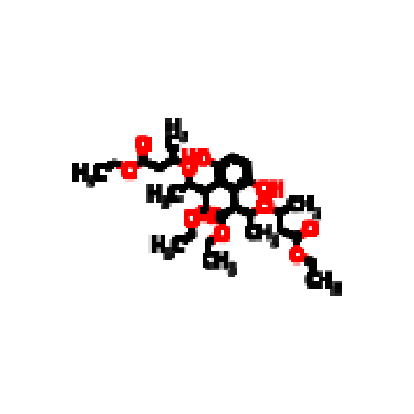 CCOC(=O)CC(C)OC(C)C(C(=O)OCC)c1c(O)ccc(O)c1C(C(=O)OCC)C(C)OC(C)CC(=O)OCC